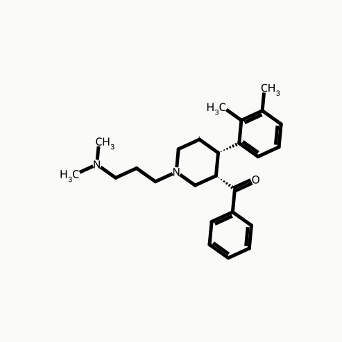 Cc1cccc([C@H]2[CH]CN(CCCN(C)C)C[C@H]2C(=O)c2ccccc2)c1C